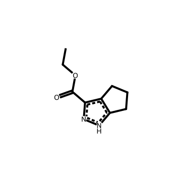 CCOC(=O)c1n[nH]c2c1CCC2